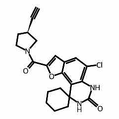 C#C[C@@H]1CCN(C(=O)c2cc3cc(Cl)c4c(c3o2)C2(CCCCC2)NC(=O)N4)C1